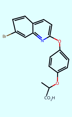 CC(Oc1ccc(Oc2ccc3ccc(Br)cc3n2)cc1)C(=O)O